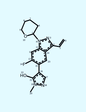 C=Cc1nn(C2CCCCO2)c2cc(F)c(-c3cnn(C)c3O)cc12